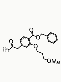 COCCCOc1cc(CC(=O)C(C)C)ccc1C(=O)OCc1ccccc1